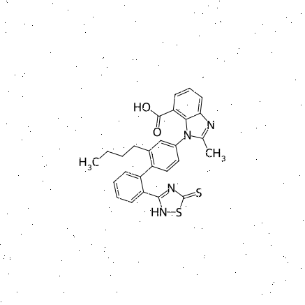 CCCCc1cc(-n2c(C)nc3cccc(C(=O)O)c32)ccc1-c1ccccc1-c1nc(=S)s[nH]1